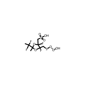 CC(F)(F)C1(C)OC(F)(CSOOO)C(F)(CS(=O)(=O)O)O1